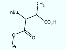 CCCCC(C(=O)OC(C)C)C(C)C(=O)O